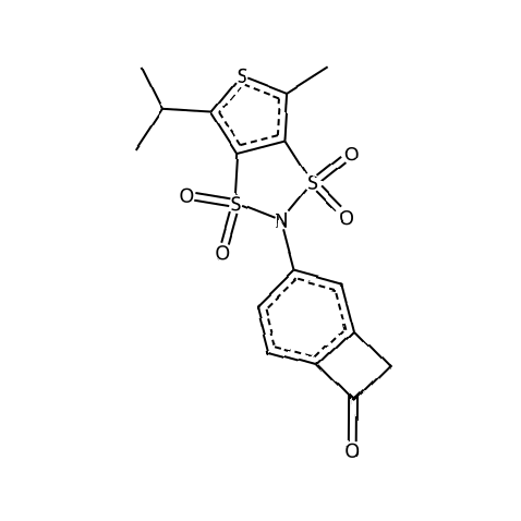 Cc1sc(C(C)C)c2c1S(=O)(=O)N(c1ccc3c(c1)CC3=O)S2(=O)=O